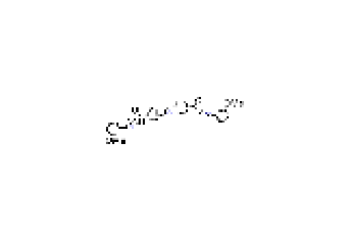 COc1cccc(/C=N/NC(=O)c2ccc(/C=C/c3ccc(C(=O)N/N=C/c4cccc(OC)c4)cc3)cc2)c1